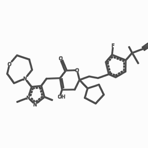 Cc1nn(C)c(N2CCCOCC2)c1CC1=C(O)CC(CCc2ccc(C(C)(C)C#N)c(F)c2)(C2CCCC2)OC1=O